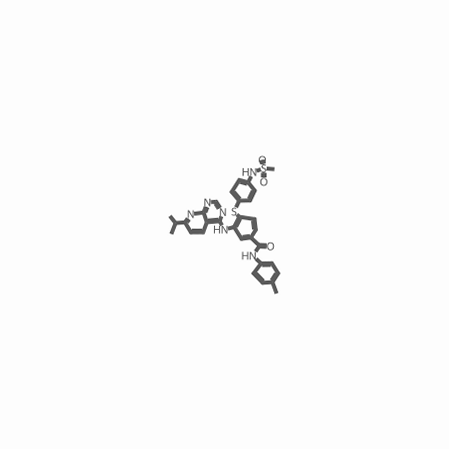 Cc1ccc(NC(=O)c2ccc(Sc3ccc(NS(C)(=O)=O)cc3)c(Nc3ncnc4nc(C(C)C)ccc34)c2)cc1